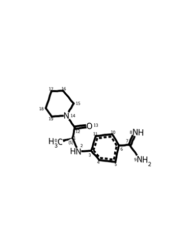 C[C@H](Nc1ccc(C(=N)N)cc1)C(=O)N1CCCCC1